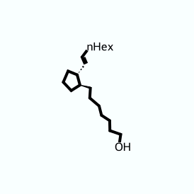 CCCCCCC=C[C@H]1CCC[C@@H]1CCCCCCCO